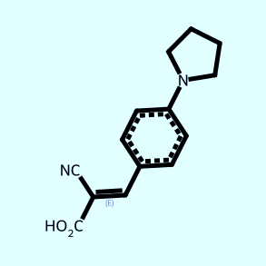 N#C/C(=C\c1ccc(N2CCCC2)cc1)C(=O)O